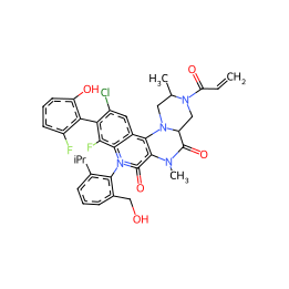 C=CC(=O)N1CC2C(=O)N(C)c3c(c4cc(Cl)c(-c5c(O)cccc5F)c(F)c4n(-c4c(CO)cccc4C(C)C)c3=O)N2CC1C